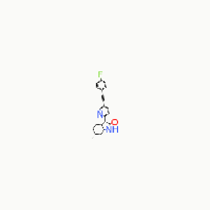 C[C@@H]1CCC2C(C1)NC(=O)[C@@H]2c1ccc(C#Cc2ccc(F)cc2)cn1